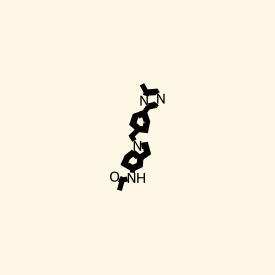 CC(=O)Nc1ccc2c(ccn2Cc2ccc(-c3cncc(C)n3)cc2)c1